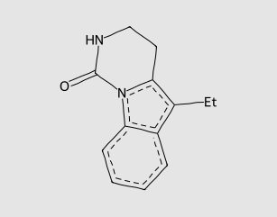 CCc1c2n(c3ccccc13)C(=O)NCC2